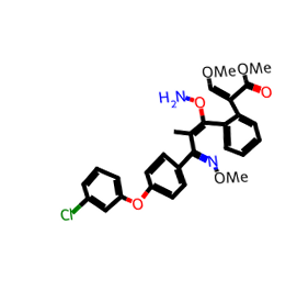 COC=C(C(=O)OC)c1ccccc1C(ON)=C(C)C(=NOC)c1ccc(Oc2cccc(Cl)c2)cc1